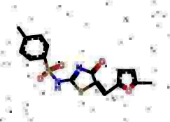 Cc1ccc(S(=O)(=O)NC2=NC(=O)/C(=C\c3ccc(C)o3)S2)cc1